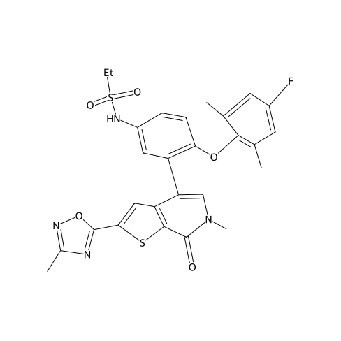 CCS(=O)(=O)Nc1ccc(Oc2c(C)cc(F)cc2C)c(-c2cn(C)c(=O)c3sc(-c4nc(C)no4)cc23)c1